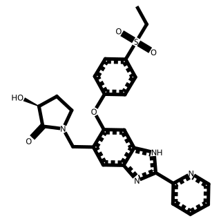 CCS(=O)(=O)c1ccc(Oc2cc3[nH]c(-c4ccccn4)nc3cc2CN2CC[C@H](O)C2=O)cc1